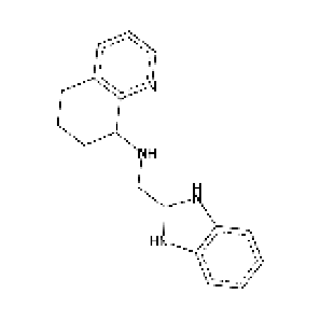 c1cnc2c(c1)CCCC2NCC1Nc2ccccc2N1